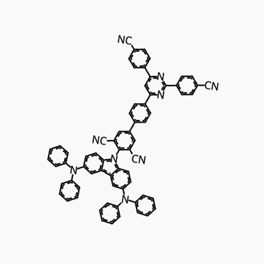 N#Cc1ccc(-c2cc(-c3ccc(-c4cc(C#N)c(-n5c6ccc(N(c7ccccc7)c7ccccc7)cc6c6cc(N(c7ccccc7)c7ccccc7)ccc65)c(C#N)c4)cc3)nc(-c3ccc(C#N)cc3)n2)cc1